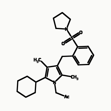 CC(=O)Cn1c(C)c(Cc2ccccc2S(=O)(=O)N2CCCC2)c(C)c1C1CCCCC1